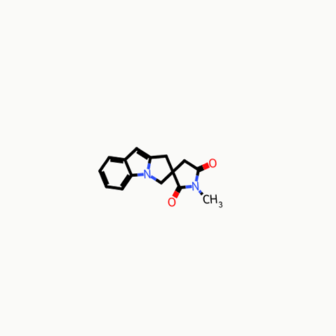 CN1C(=O)CC2(Cc3cc4ccccc4n3C2)C1=O